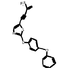 CC(N)C#Cc1cnc(Oc2ccc(Oc3ccccc3)cc2)s1